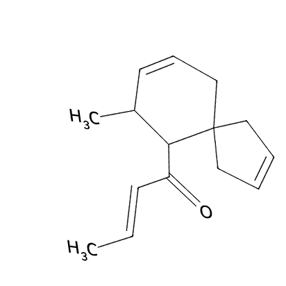 CC=CC(=O)C1C(C)C=CCC12CC=CC2